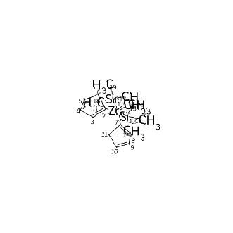 [CH2]=[Zr]([C]1=CC=CC1)([C]1=CC=CC1)([Si](C)(C)C)[Si](C)(C)C